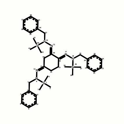 C[Si](C)(C)N(Cc1ccccc1)N=C1CCC(=NN(Cc2ccccc2)[Si](C)(C)C)C(=NN(Cc2ccccc2)[Si](C)(C)C)C1